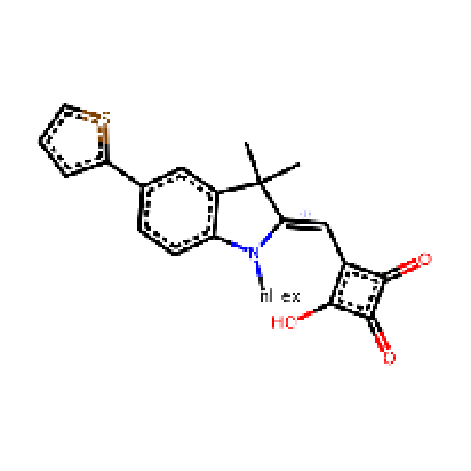 CCCCCCN1/C(=C\c2c(O)c(=O)c2=O)C(C)(C)c2cc(-c3cccs3)ccc21